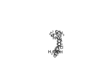 CC1(C)[C@H]([C@H]2CCCCO2)[C@H]1C(=O)Nc1cc2cc(N3CCN([C@@]4(C)COC[C@H]4O)CC3)c(Cl)cc2cn1